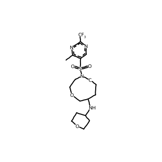 Cc1nc(C(F)(F)F)ncc1S(=O)(=O)N1CCCC(NC2CCOCC2)COCC1